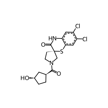 O=C([C@H]1CC[C@@H](O)C1)N1CC[C@@]2(C1)Sc1cc(Cl)c(Cl)cc1NC2=O